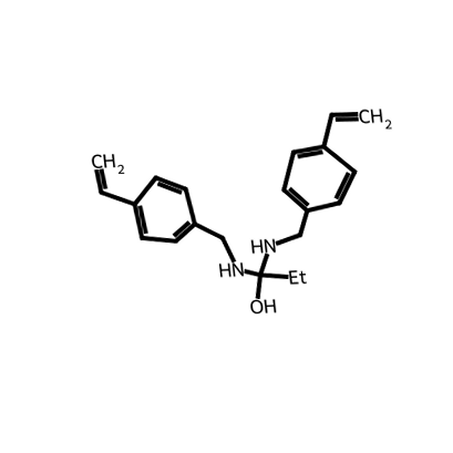 C=Cc1ccc(CNC(O)(CC)NCc2ccc(C=C)cc2)cc1